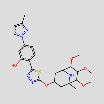 COC1C2CC(Oc3nnc(-c4ccc(-n5ccc(C)n5)cc4O)s3)CC(C)(N2)C(OC)C1OC